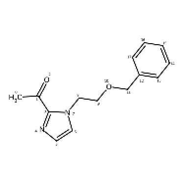 CC(=O)c1nccn1CCOCc1ccccc1